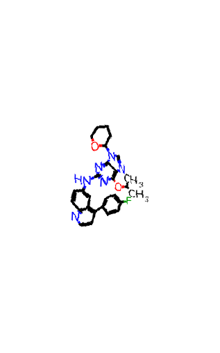 CC(C)Oc1nc(Nc2ccc3nccc(-c4ccc(F)cc4)c3c2)nc2c1ncn2C1CCCCO1